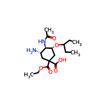 CCOC(=O)C1(C(=O)O)C[C@H](N)[C@@H](NC(C)=O)[C@H](OC(CC)CC)C1